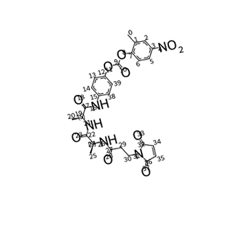 Cc1cc([N+](=O)[O-])ccc1OC(=O)Oc1ccc(NC(=O)[C@H](C)NC(=O)[C@H](C)NC(=O)CCN2C(=O)C=CC2=O)cc1